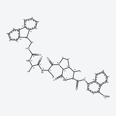 COc1ccc(OC(=O)C2NC(=O)C3C(CCN3C(=O)C(C)NC(=O)C(C)NC(=O)OCC3c4ccccc4-c4ccccc43)C2C)c2ccccc12